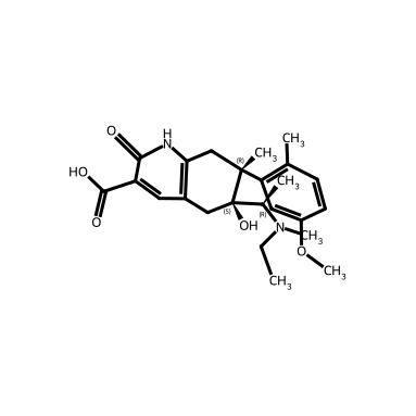 CCN(C)[C@H](C)[C@]1(O)Cc2cc(C(=O)O)c(=O)[nH]c2C[C@]1(C)c1cc(OC)ccc1C